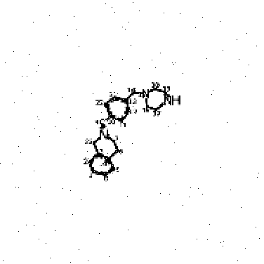 c1ccc2c(c1)CCN(Sc1ccc(CN3CCNCC3)cc1)C2